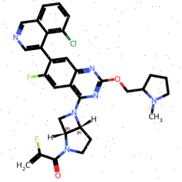 C=C(F)C(=O)N1CC[C@@H]2[C@H]1CN2c1nc(OCC2CCCN2C)nc2cc(-c3cncc4cccc(Cl)c34)c(F)cc12